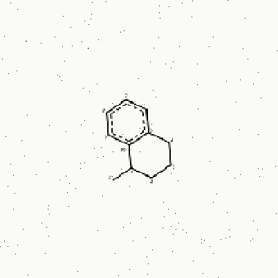 CC1CCCc2ccccc21